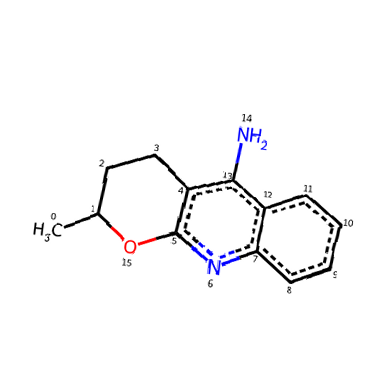 CC1CCc2c(nc3ccccc3c2N)O1